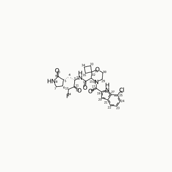 O=C(N[C@@H](C[C@@H]1CCNC1=O)C(=O)CF)C1N(C(=O)c2cc3cccc(Cl)c3[nH]2)CCOC12CCC2